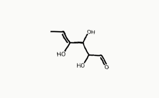 CC=C(O)C(O)C(O)C=O